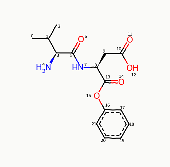 CC(C)[C@H](N)C(=O)N[C@@H](CC(=O)O)C(=O)Oc1ccccc1